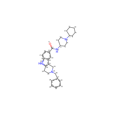 O=C(NC1CCN(C2CCCCC2)CC1)c1ccc2[nH]c3c(c2c1)CN(Cc1ccccc1)CC3